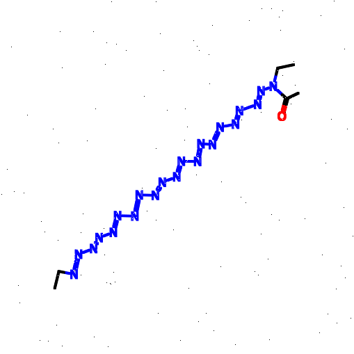 CCN=NN=NN=NN=NN=NN=NN=NN=NN=NN=NN(CC)C(C)=O